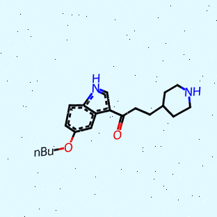 CCCCOc1ccc2[nH]cc(C(=O)CCC3CCNCC3)c2c1